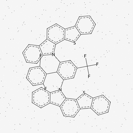 Fc1cccc(F)c1-c1c(-n2c3ccccc3c3ccc4c5ccccc5sc4c32)cc(C(F)(F)F)cc1-n1c2ccccc2c2ccc3c4ccccc4sc3c21